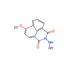 CCCNN1C(=O)c2cccc3c(OCC)ccc(c23)C1=O